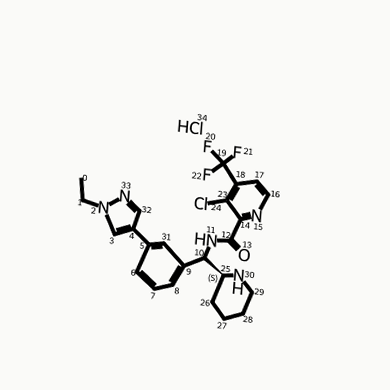 CCn1cc(-c2cccc(C(NC(=O)c3nccc(C(F)(F)F)c3Cl)[C@@H]3CCCCN3)c2)cn1.Cl